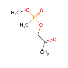 COP(C)(=O)OCC(C)=O